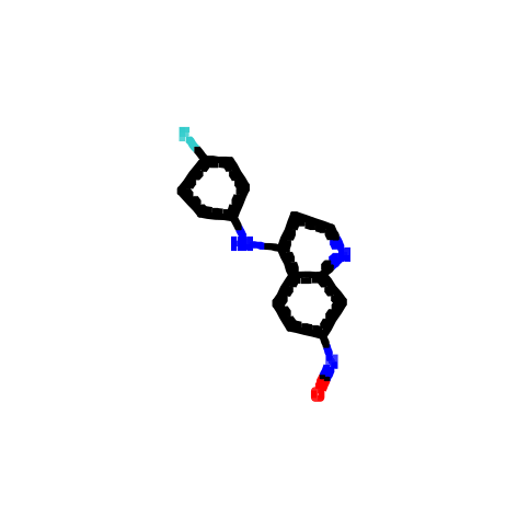 O=Nc1ccc2c(Nc3ccc(F)cc3)ccnc2c1